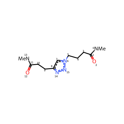 CNC(=O)CCCn1cc(CCC(=O)NC)nn1